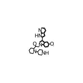 COc1ccc2c(c1)c(-c1cc3cccnc3[nH]1)cn2CC(=O)C1CCCCN1C1CCNCC1